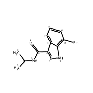 CC(C)NC(=O)c1n[nH]c2c(F)cccc12